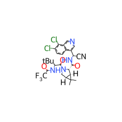 CC(C)(C)[C@H](NC(=O)C(F)(F)F)C(=O)N1C[C@H]2[C@@H]([C@H]1C(=O)NC(C#N)c1cncc3c(Cl)c(Cl)ccc13)C2(C)C